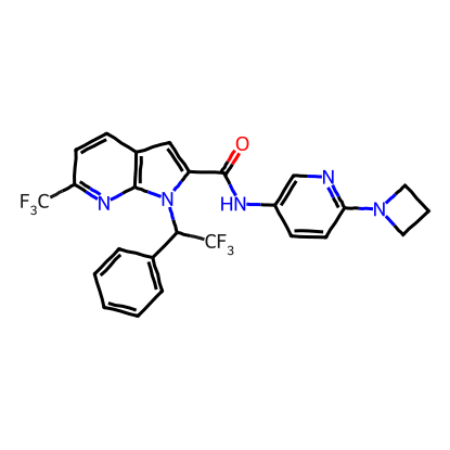 O=C(Nc1ccc(N2CCC2)nc1)c1cc2ccc(C(F)(F)F)nc2n1C(c1ccccc1)C(F)(F)F